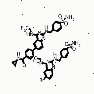 NS(=O)(=O)c1ccc(CNc2nc(NCC(F)(F)F)c3cc(-c4ccc(C(=O)NC5CC5)cc4)ccc3n2)cc1.NS(=O)(=O)c1ccc(CNc2nc(NCC(F)(F)F)c3cc(Br)ccc3n2)cc1